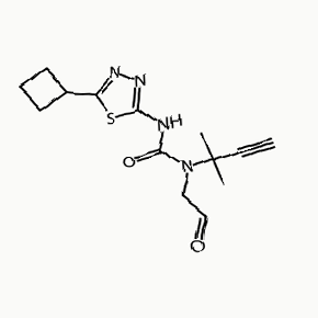 C#CC(C)(C)N(CC=O)C(=O)Nc1nnc(C2CCC2)s1